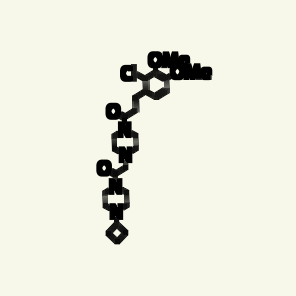 COc1ccc(/C=C/C(=O)N2CCN(CC(=O)N3CCN(C4CCC4)CC3)CC2)c(Cl)c1OC